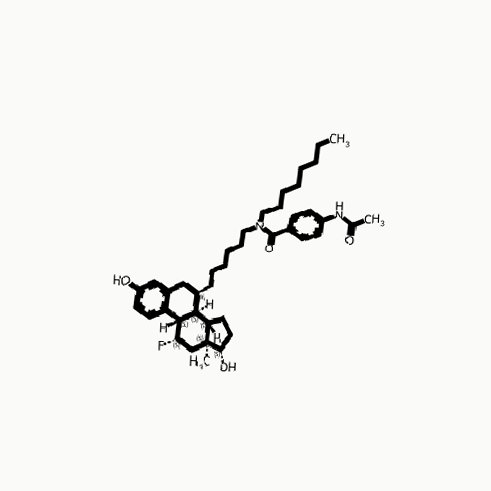 CCCCCCCCN(CCCCCC[C@@H]1Cc2cc(O)ccc2[C@@H]2[C@@H]1[C@@H]1CC[C@H](O)[C@@]1(C)C[C@@H]2F)C(=O)c1ccc(NC(C)=O)cc1